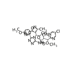 CCC(c1c(C)noc1C)n1c(NS(=O)(=O)C(C)C(OC)c2ncc(Cl)cn2)nnc1-c1cccc(OC)n1